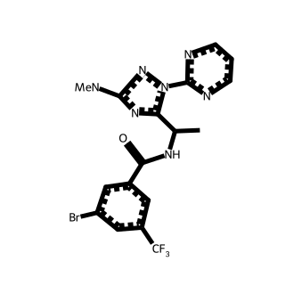 CNc1nc(C(C)NC(=O)c2cc(Br)cc(C(F)(F)F)c2)n(-c2ncccn2)n1